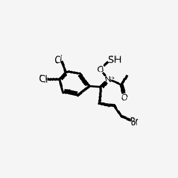 CC(=O)[N+](OS)=C(CCCBr)c1ccc(Cl)c(Cl)c1